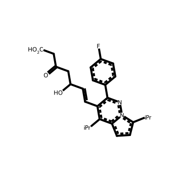 CC(C)c1c(/C=C/C(O)CC(=O)CC(=O)O)c(-c2ccc(F)cc2)nn2c(C(C)C)ccc12